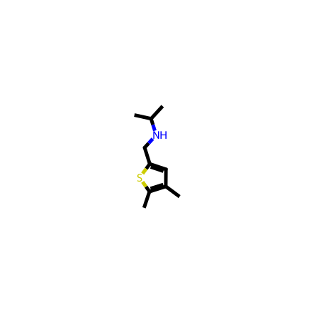 Cc1cc(CNC(C)C)sc1C